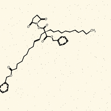 CCCCCCCCCCC[C@](CC=CCCCCCCCC(=O)OCc1ccccc1)(C(=O)OCc1ccccc1)C(=O)ON1C(=O)CCC1=O